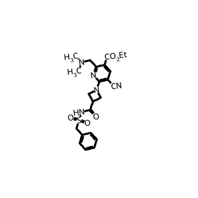 CCOC(=O)c1cc(C#N)c(N2CC(C(=O)NS(=O)(=O)Cc3ccccc3)C2)nc1CN(C)C